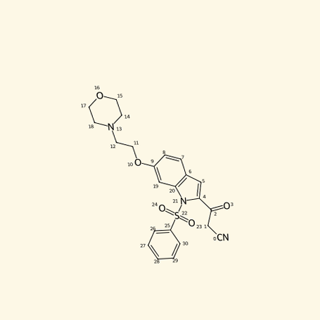 N#CCC(=O)c1cc2ccc(OCCN3CCOCC3)cc2n1S(=O)(=O)c1ccccc1